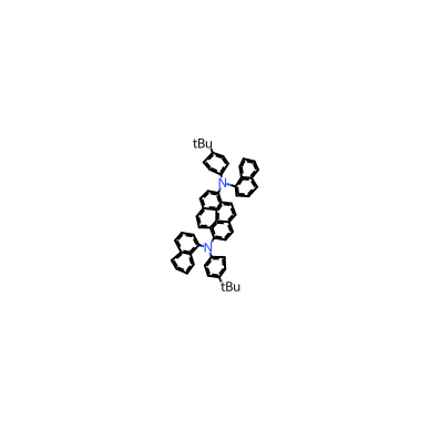 CC(C)(C)c1ccc(N(c2cccc3ccccc23)c2ccc3ccc4c(N(c5ccc(C(C)(C)C)cc5)c5cccc6ccccc56)ccc5ccc2c3c54)cc1